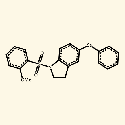 COc1ccccc1S(=O)(=O)N1CCc2cc([Se]c3ccccc3)ccc21